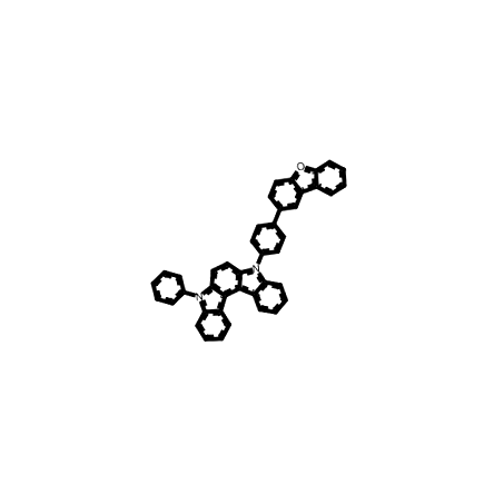 c1ccc(-n2c3ccccc3c3c4c5ccccc5n(-c5ccc(-c6ccc7oc8ccccc8c7c6)cc5)c4ccc32)cc1